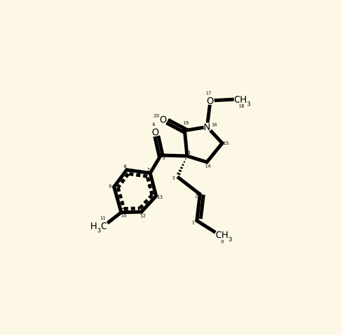 C/C=C/C[C@@]1(C(=O)c2ccc(C)cc2)CCN(OC)C1=O